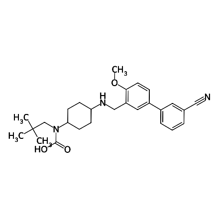 COc1ccc(-c2cccc(C#N)c2)cc1CNC1CCC(N(CC(C)(C)C)C(=O)O)CC1